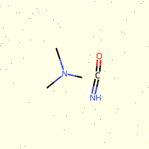 CN(C)C.N=C=O